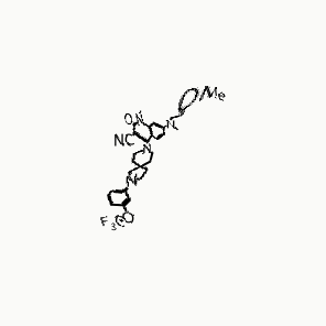 COCCN(C)c1ccc2c(N3CCC4(CCN(c5cccc(OC(F)(F)F)c5)C4)CC3)c(C#N)c(=O)n(C)c2c1